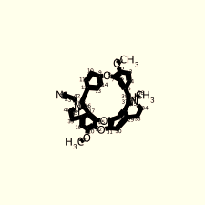 COc1ccc2cc1Oc1ccc(cc1)C[C@H]1c3c(cc(OC)c4c3Oc3cc5c(cc3O4)CCN(C)[C@H]5C2)CCN1CC#N